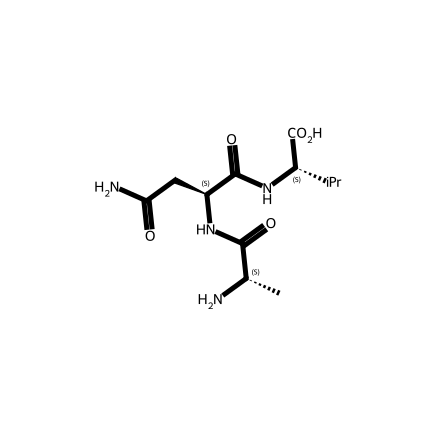 CC(C)[C@H](NC(=O)[C@H](CC(N)=O)NC(=O)[C@H](C)N)C(=O)O